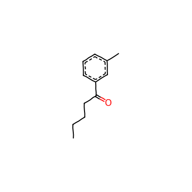 CCCCC(=O)c1cccc(C)c1